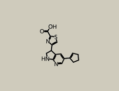 O=C(O)c1nc(C2CNc3ncc(C4=CCCC4)cc32)cs1